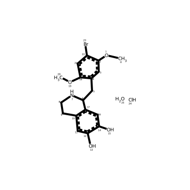 COc1cc(CC2NCCc3cc(O)c(O)cc32)c(OC)cc1Br.Cl.O